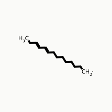 [CH2]CCCCCCC/C=C/C=C/CC